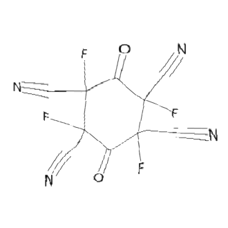 N#CC1(F)C(=O)C(F)(C#N)C(F)(C#N)C(=O)C1(F)C#N